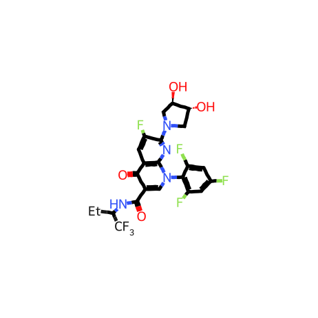 CCC(NC(=O)c1cn(-c2c(F)cc(F)cc2F)c2nc(N3C[C@@H](O)[C@H](O)C3)c(F)cc2c1=O)C(F)(F)F